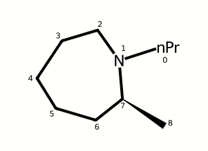 [CH2]CCN1CCCCC[C@@H]1C